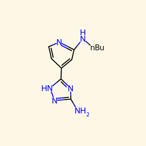 CCCCNc1cc(-c2nc(N)n[nH]2)ccn1